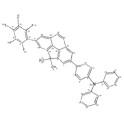 CC1(C)c2cc(-c3ccc(N(c4ccccc4)c4cccnc4)cc3)cc3ccc4cc(-c5c(F)c(F)c(F)c(F)c5F)cc1c4c23